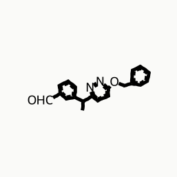 CC(c1cccc(C=O)c1)c1ccc(OCc2ccccc2)nn1